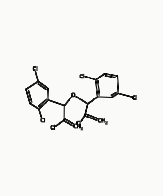 C=C(Cl)C(OC(C(=C)Cl)c1cc(Cl)ccc1Cl)c1cc(Cl)ccc1Cl